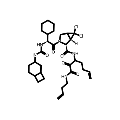 C=CCCNC(=O)C(=O)C(CCC=C)NC(=O)[C@@H]1[C@@H]2C(CN1C(=O)[C@@H](NC(=O)NC1CCC3CCC3C1)C1CCCCC1)C2(Cl)Cl